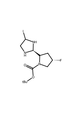 CC(C)(C)OC(=O)N1C[C@@H](F)CC1[C@H]1NCC(I)N1